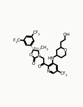 C[C@H]1[C@@H](c2cc(C(F)(F)F)cc(C(F)(F)F)c2)OC(=O)N1CC(=O)c1ncc(C(F)(F)F)cc1NC1CCOC(CCO)C1